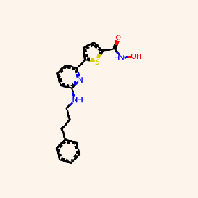 O=C(NO)c1ccc(-c2cccc(NCCCc3ccccc3)n2)s1